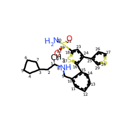 C[C@@H](CC1CCCC1)NCc1ccccc1-c1sc(S(N)(=O)=O)cc1-c1ccsc1